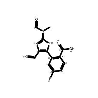 CN(C=O)c1nc(C=O)c(-c2cc(F)ccc2C(=O)O)s1